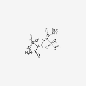 C=CS(=O)(=O)C(CCC(C(=O)NCC)S(=O)(=O)C=C)C(N)=O